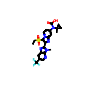 CCS(=O)(=O)c1c(-c2nc3cc(C(F)(F)F)cnc3n2C)nc2cc(N(C(=O)O)C3(C)CC3)ccn12